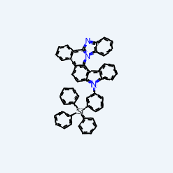 c1ccc([Si](c2ccccc2)(c2ccccc2)c2cccc(-n3c4ccccc4c4c3ccc3c5ccccc5c5nc6ccccc6n5c34)c2)cc1